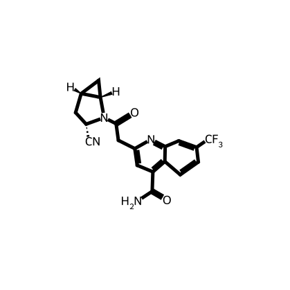 N#C[C@@H]1C[C@@H]2C[C@@H]2N1C(=O)Cc1cc(C(N)=O)c2ccc(C(F)(F)F)cc2n1